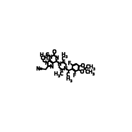 CCn1c(CC#N)nc2c(N3C[C@@H](C)N(C(C)c4c(F)cc5c(c4F)OC(C)(C)O5)C[C@@H]3C)nc(=O)n(C)c21